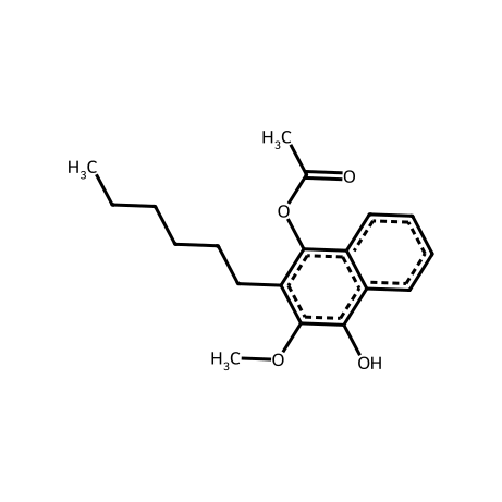 CCCCCCc1c(OC)c(O)c2ccccc2c1OC(C)=O